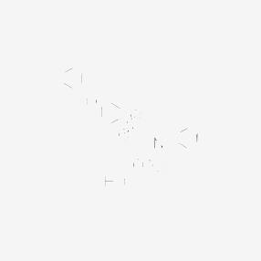 CCOC(=O)C1CC(S(=O)(=O)c2ccc(OCc3ccccc3)cc2)CCN1Cc1ccccc1